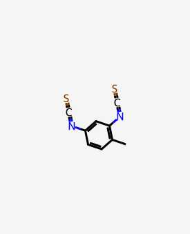 Cc1ccc(N=C=S)cc1N=C=S